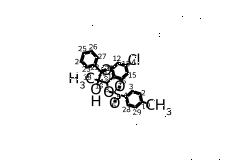 Cc1ccc(S(=O)(=O)OC(c2ccc(Cl)cc2)C(C)(O)C(=O)c2ccccc2)cc1